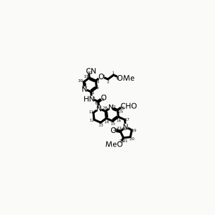 COCCOc1cc(NC(=O)N2CCCc3cc(CN4CCC(OC)C4=O)c(C=O)nc32)ncc1C#N